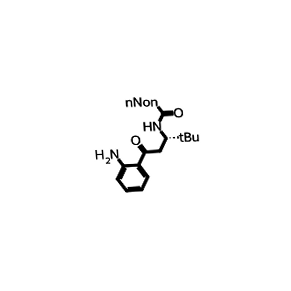 CCCCCCCCCC(=O)N[C@@H](CC(=O)c1ccccc1N)C(C)(C)C